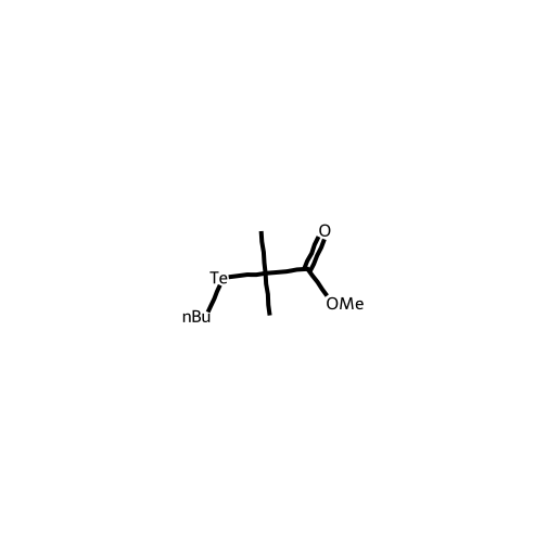 CCCC[Te]C(C)(C)C(=O)OC